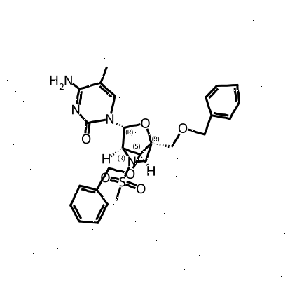 Cc1cn([C@@H]2O[C@@]3(COCc4ccccc4)CN(S(C)(=O)=O)[C@@H]2[C@@H]3OCc2ccccc2)c(=O)nc1N